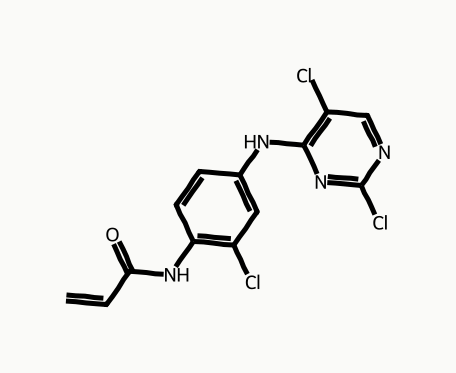 C=CC(=O)Nc1ccc(Nc2nc(Cl)ncc2Cl)cc1Cl